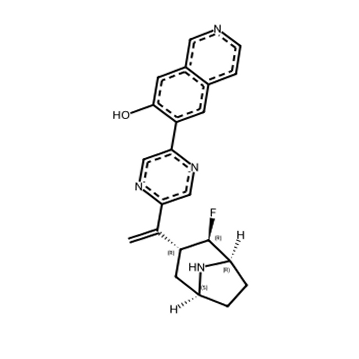 C=C(c1cnc(-c2cc3ccncc3cc2O)cn1)[C@H]1C[C@@H]2CC[C@@H](N2)[C@@H]1F